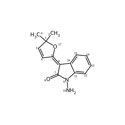 CC1(C)C=C/C(=C2\C(=O)N(N)c3ccccc32)O1